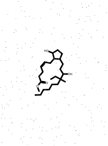 CCCCCCC(C)(CC)C(O)CCC1CCC(O)C1C/C=C\CCC(=O)OC